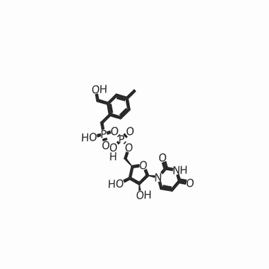 Cc1ccc(CP(=O)(O)OP(=O)(O)OC[C@H]2O[C@@H](n3ccc(=O)[nH]c3=O)[C@@H](O)C2O)c(CO)c1